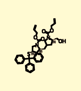 C=CCOC(=O)N1CC(C[C@@H]2C[C@H](SC(c3ccccc3)(c3ccccc3)c3ccccc3)CN2C(=O)OCC=C)C[C@H]1CO